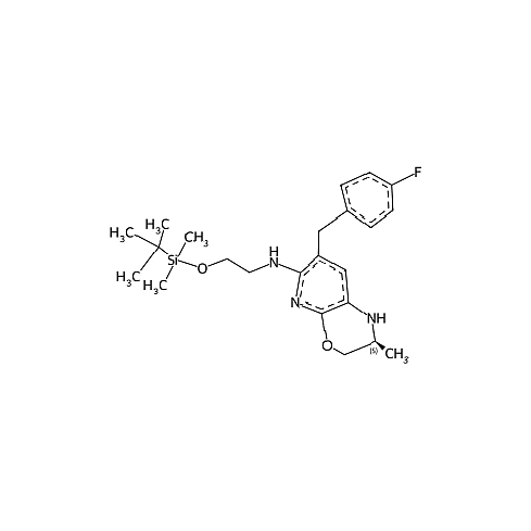 C[C@H]1COc2nc(NCCO[Si](C)(C)C(C)(C)C)c(Cc3ccc(F)cc3)cc2N1